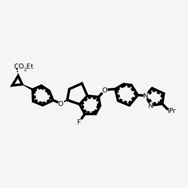 CCOC(=O)[C@H]1C[C@@H]1c1ccc(O[C@@H]2CCc3c(Oc4ccc(-n5ccc(C(C)C)n5)cc4)ccc(F)c32)cc1